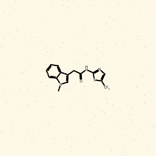 Cn1cc(CC(=O)Nc2ncc(C(F)(F)F)s2)c2ccccc21